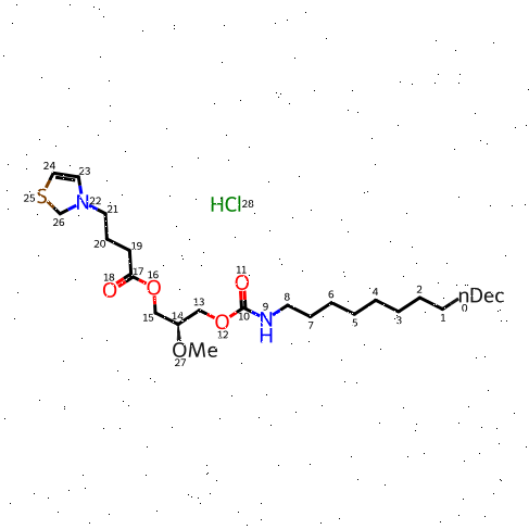 CCCCCCCCCCCCCCCCCCNC(=O)OC[C@H](COC(=O)CCCN1C=CSC1)OC.Cl